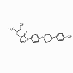 C[C@@H](CO)Cn1ncn(-c2ccc(N3CCN(c4ccc(O)cc4)CC3)cc2)c1=O